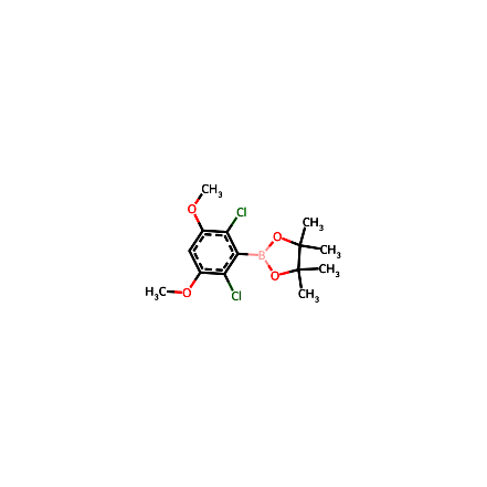 COc1cc(OC)c(Cl)c(B2OC(C)(C)C(C)(C)O2)c1Cl